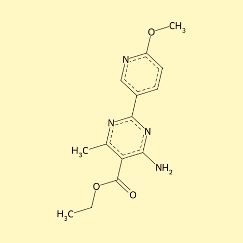 CCOC(=O)c1c(C)nc(-c2ccc(OC)nc2)nc1N